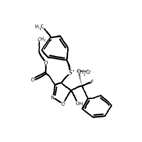 CCOC(=O)C1=NOC(O)([C@@](C)(F)c2ccccc2)C1[S@@+]([O-])c1ccc(C)cc1